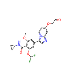 COc1cc(-c2cnc3cc(OCC=O)ccn23)cc(OC(F)F)c1C(=O)NC1CC1